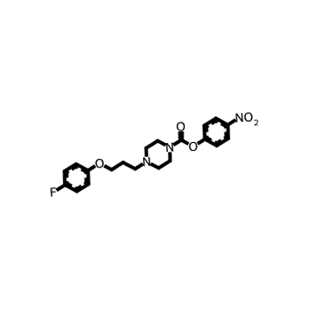 O=C(Oc1ccc([N+](=O)[O-])cc1)N1CCN(CCCOc2ccc(F)cc2)CC1